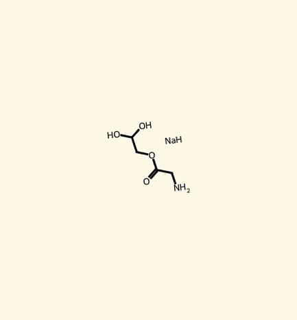 NCC(=O)OCC(O)O.[NaH]